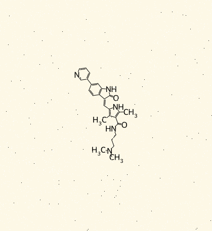 Cc1[nH]c(C=C2C(=O)Nc3cc(-c4cccnc4)ccc32)c(C)c1C(=O)NCCCN(C)C